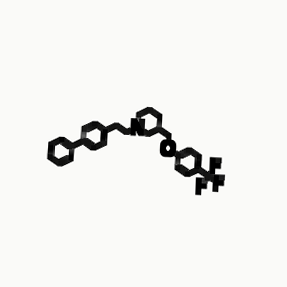 FC(F)(F)c1ccc(OCC2CCCN(CCc3ccc(-c4ccccc4)cc3)C2)cc1